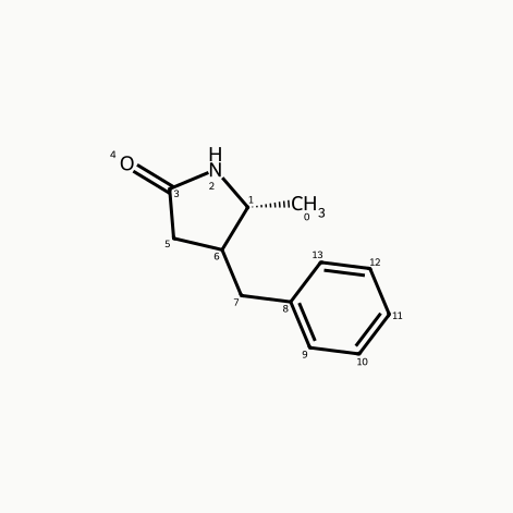 C[C@H]1NC(=O)CC1Cc1ccccc1